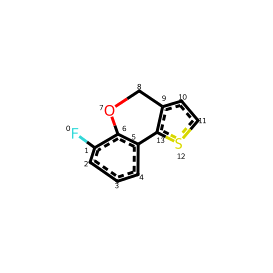 Fc1cccc2c1OCc1ccsc1-2